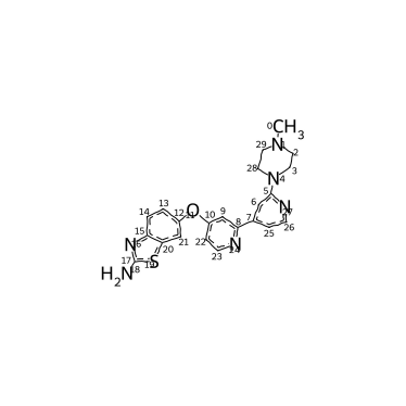 CN1CCN(c2cc(-c3cc(Oc4ccc5nc(N)sc5c4)ccn3)ccn2)CC1